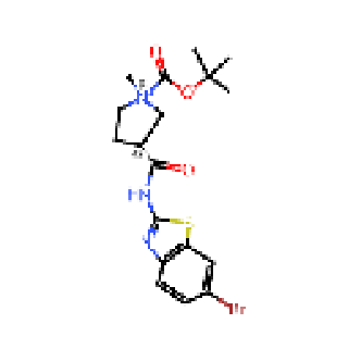 CC(C)(C)OC(=O)[N@@+]1(C)CC[C@@H](C(=O)Nc2nc3ccc(Br)cc3s2)C1